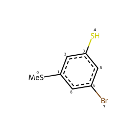 CSc1cc(S)cc(Br)c1